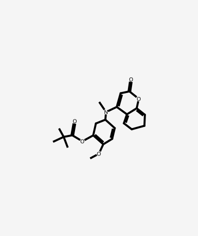 COC1=C(OC(=O)C(C)(C)C)CC(N(C)c2cc(=O)oc3c2=CCCC=3)C=C1